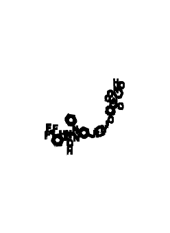 O=C1CCC(N2C(=O)c3ccc(OCCN4CCN(Cc5ccc6c(c5)nc(NC(O)c5cccc(C(F)(F)F)c5)n6-c5ccccc5)CC4)cc3C2=O)C(=O)N1